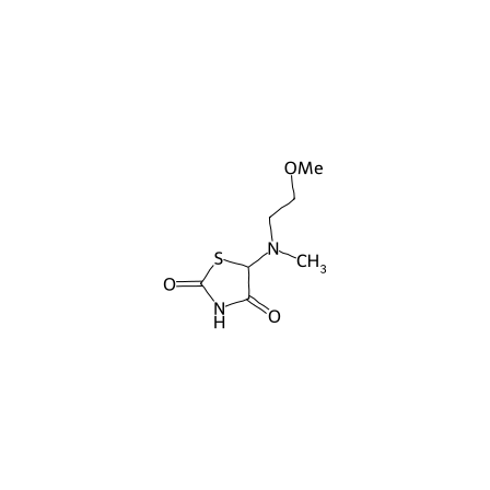 COCCN(C)C1SC(=O)NC1=O